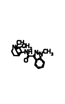 Cn1nc(C(=O)NC2C3CCN(CC3)C2(C)C)c2ccccc21